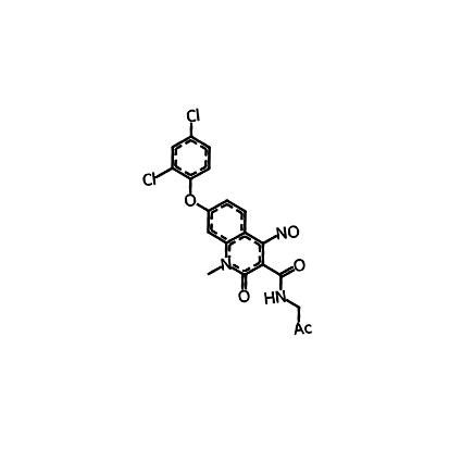 CC(=O)CNC(=O)c1c(N=O)c2ccc(Oc3ccc(Cl)cc3Cl)cc2n(C)c1=O